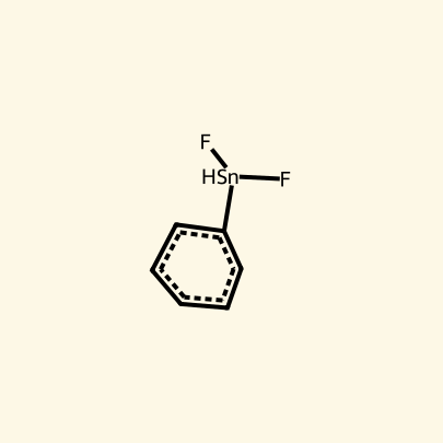 [F][SnH]([F])[c]1ccccc1